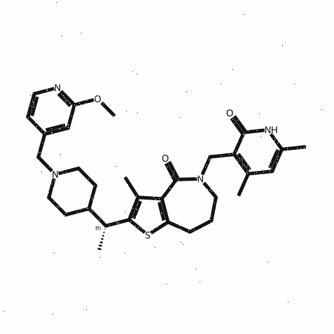 COc1cc(CN2CCC([C@@H](C)c3sc4c(c3C)C(=O)N(Cc3c(C)cc(C)[nH]c3=O)CCC4)CC2)ccn1